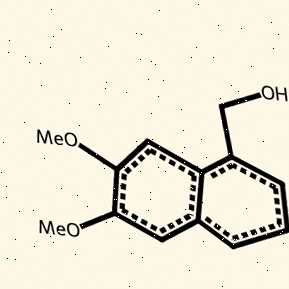 COc1cc2cccc(CO)c2cc1OC